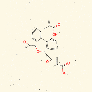 C(OCC1CO1)C1CO1.C=C(C)C(=O)O.C=C(C)C(=O)O.c1ccc(-c2ccccc2)cc1